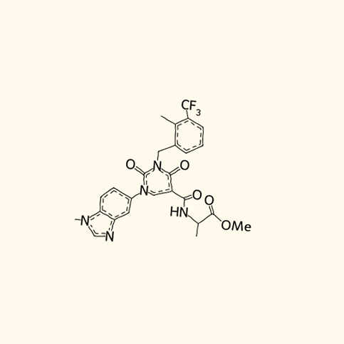 COC(=O)C(C)NC(=O)c1cn(-c2ccc3c(c2)ncn3C)c(=O)n(Cc2cccc(C(F)(F)F)c2C)c1=O